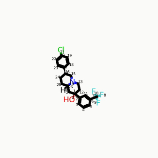 O[C@@]1(c2cccc(C(F)(F)F)c2)CCN2C[C@H](c3ccc(Cl)cc3)CC[C@H]2C1